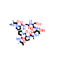 CN[C@@H](C)C(=O)N1CCC[C@H]1C(=O)NCC(=O)N[C@@H](CO)C(=O)N[C@H](C(=O)N[C@@H](C)C(=O)N1CCC[C@H]1C(=O)N1CCC[C@H]1C(=O)N[C@@H](C)C(C)=O)C(C)O